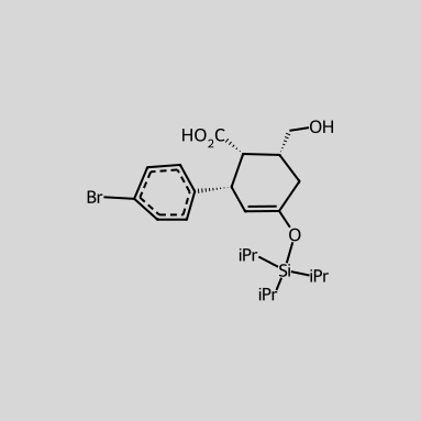 CC(C)[Si](OC1=C[C@H](c2ccc(Br)cc2)[C@H](C(=O)O)[C@H](CO)C1)(C(C)C)C(C)C